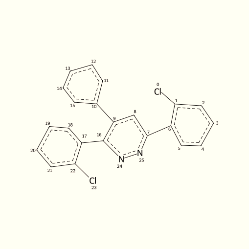 Clc1ccccc1-c1cc(-c2ccccc2)c(-c2ccccc2Cl)nn1